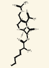 CCCCCC(N)C(=O)NC1C(=O)N2C(C(=O)O)=C(COC(N)=O)CS[C@H]12